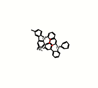 Cc1ccc2c(c1)c1cc(C)ccc1n2-c1ccccc1-c1cc(C#N)cc(-c2ccccc2N(c2ccccc2)c2ccccc2)c1